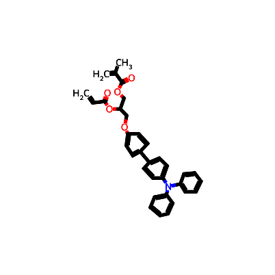 C=CC(=O)OC(COC(=O)C(=C)C)COc1ccc(-c2ccc(N(c3ccccc3)c3ccccc3)cc2)cc1